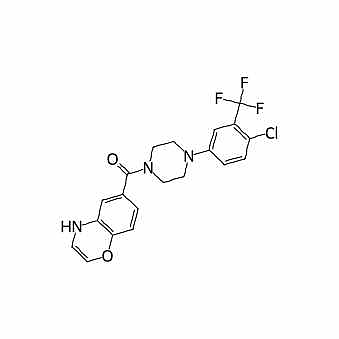 O=C(c1ccc2c(c1)NC=CO2)N1CCN(c2ccc(Cl)c(C(F)(F)F)c2)CC1